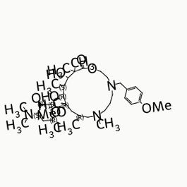 COc1ccc(CN2CCCN(C)C[C@H](C)C[C@@](C)(OC)[C@H](O[C@@H]3O[C@H](C)C[C@H](N(C)C)[C@H]3O)[C@@H](C)C(O)C(C)(C)C(=O)OCC2)cc1